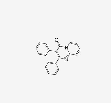 O=c1c(-c2ccccc2)c(-c2ccccc2)nc2ccccn12